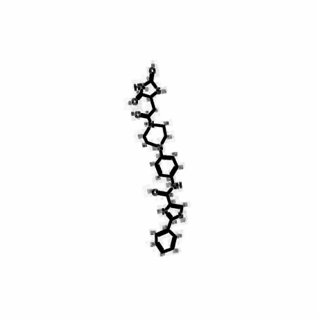 O=C1NC(=O)C(CC(=O)N2CCN(c3ccc(NC(=O)c4csc(-c5ccccc5)n4)cc3)CC2)S1